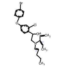 C=C/C(=C/C)N(/C=C/CCC)CC(O)c1ccc(Oc2ccc(Br)cc2)cc1Cl